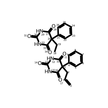 C=CCC1(c2ccccc2)C(=O)NC(=O)NC1=O.CCC1(c2ccccc2)C(=O)NC(=O)NC1=O